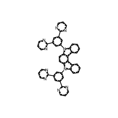 c1cnc(-c2cc(-c3ncccn3)cc(-n3c4ccccc4c4c5c6ccccc6n(-c6cc(-c7ncccn7)cc(-c7ncccn7)c6)c5ccc43)c2)nc1